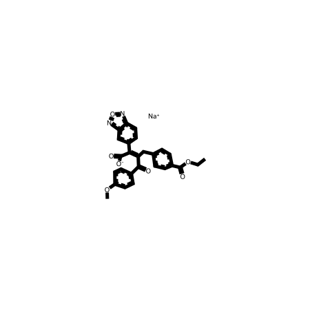 CCOC(=O)c1ccc(CC(C(=O)c2ccc(OC)cc2)=C(C(=O)[O-])c2ccc3nonc3c2)cc1.[Na+]